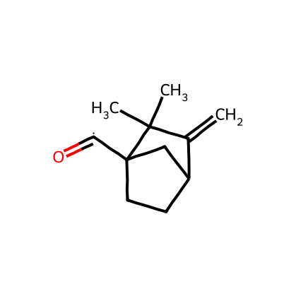 C=C1C2CCC([C]=O)(C2)C1(C)C